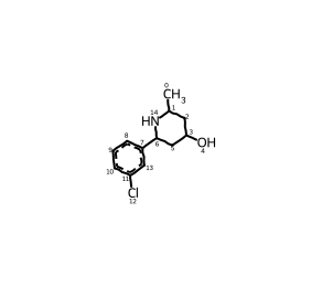 CC1CC(O)CC(c2cccc(Cl)c2)N1